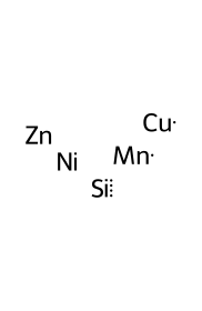 [Cu].[Mn].[Ni].[Si].[Zn]